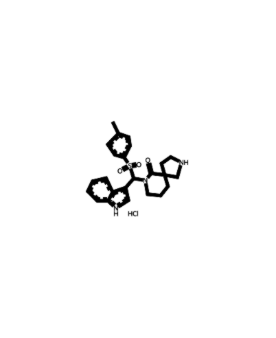 Cc1ccc(S(=O)(=O)C(c2c[nH]c3ccccc23)N2CCCC3(CCNC3)C2=O)cc1.Cl